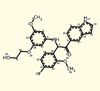 COc1cc(NC(C(=O)c2ccc3[nH]ccc3c2)c2ccc(F)cc2OC)cc(OCCO)c1